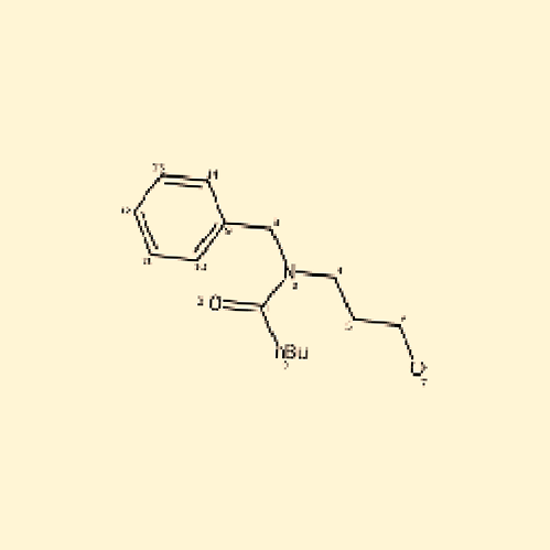 CCCCC(=O)N(CCC[O])Cc1ccccc1